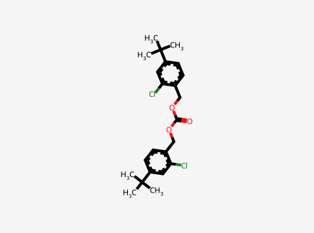 CC(C)(C)c1ccc(COC(=O)OCc2ccc(C(C)(C)C)cc2Cl)c(Cl)c1